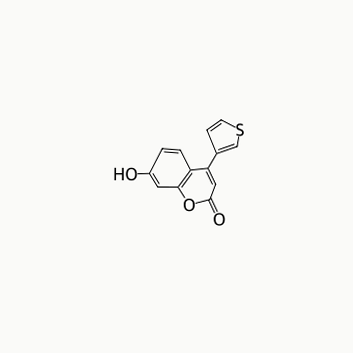 O=c1cc(-c2ccsc2)c2ccc(O)cc2o1